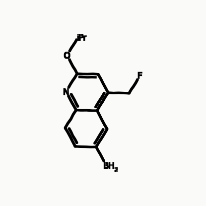 Bc1ccc2nc(OC(C)C)cc(CF)c2c1